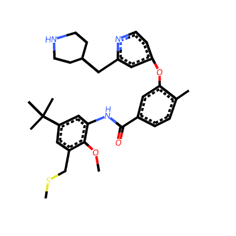 COc1c(CSC)cc(C(C)(C)C)cc1NC(=O)c1ccc(C)c(Oc2ccnc(CC3CCNCC3)c2)c1